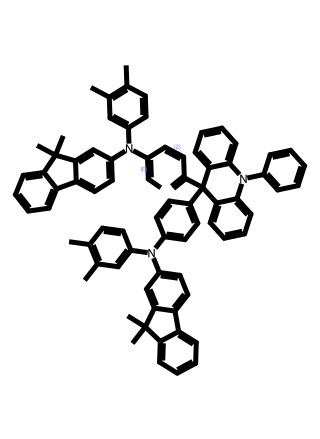 C=C(/C=C\C(=C/C)N(c1ccc(C)c(C)c1)c1ccc2c(c1)C(C)(C)c1ccccc1-2)C1(c2ccc(N(c3ccc(C)c(C)c3)c3ccc4c(c3)C(C)(C)c3ccccc3-4)cc2)c2ccccc2N(c2ccccc2)c2ccccc21